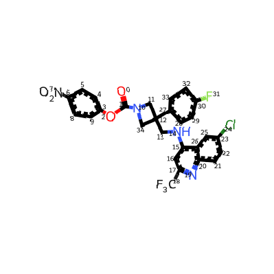 O=C(Oc1ccc([N+](=O)[O-])cc1)N1CC(CNc2cc(C(F)(F)F)nc3ccc(Cl)cc23)(c2ccc(F)cc2)C1